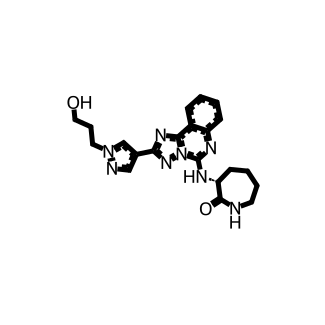 O=C1NCCCC[C@H]1Nc1nc2ccccc2c2nc(-c3cnn(CCCO)c3)nn12